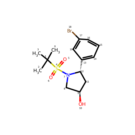 CC(C)(C)S(=O)(=O)N1C[C@H](O)C[C@H]1c1cccc(Br)c1